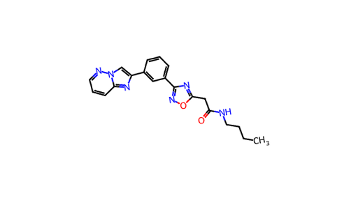 CCCCNC(=O)Cc1nc(-c2cccc(-c3cn4ncccc4n3)c2)no1